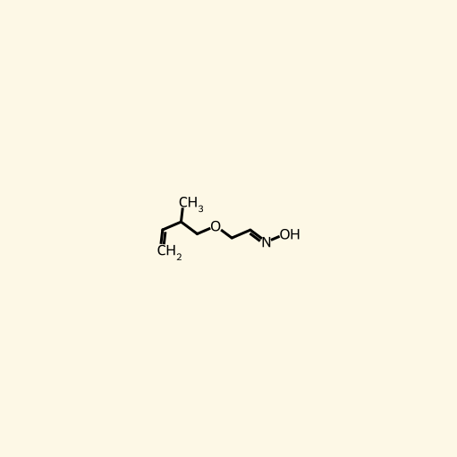 C=CC(C)COCC=NO